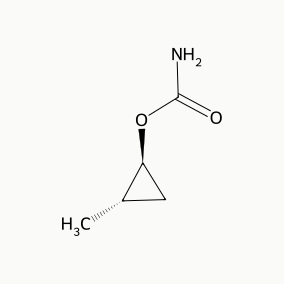 C[C@H]1C[C@@H]1OC(N)=O